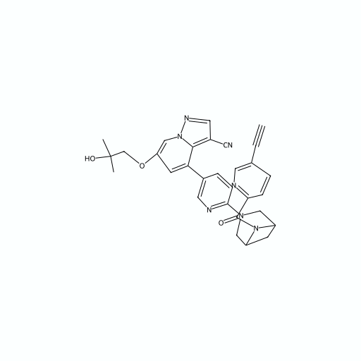 C#Cc1ccc(C(=O)N2C3CC2CN(c2ccc(-c4cc(OCC(C)(C)O)cn5ncc(C#N)c45)cn2)C3)nc1